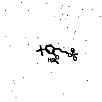 C[SiH](C)Oc1cc(C(C)(C)C)ccc1CCCOS(C)(=O)=O